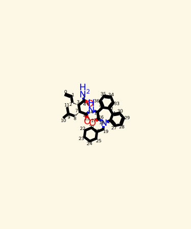 C=CC[C@H](C(N)=O)[C@@H](CC(C)C)C(=O)NC1C(=O)N(CC2CCCCC2)c2ccccc2-c2ccccc21